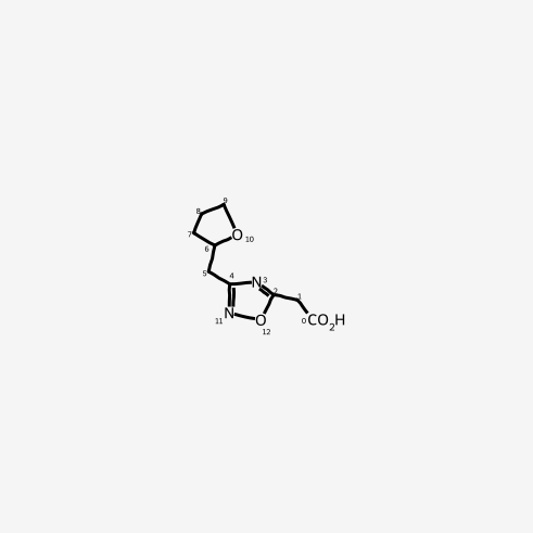 O=C(O)Cc1nc(CC2CCCO2)no1